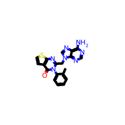 Cc1ccccc1-n1c(Cn2cnc3c(N)ncnc32)nc2sccc2c1=O